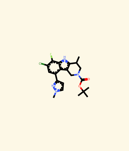 CC1CN(C(=O)OC(C)(C)C)Cc2c1[nH]c1c(F)c(Cl)cc(-c3ccn(C)n3)c21